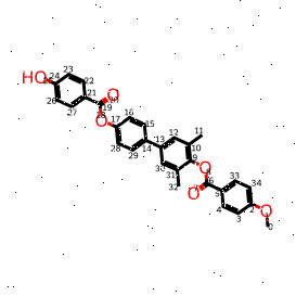 COc1ccc(C(=O)Oc2c(C)cc(-c3ccc(OC(=O)c4ccc(O)cc4)cc3)cc2C)cc1